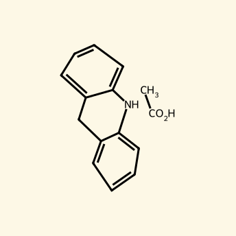 CC(=O)O.c1ccc2c(c1)Cc1ccccc1N2